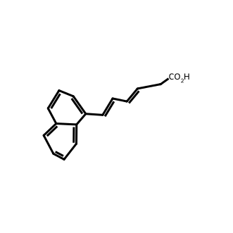 O=C(O)CC=CC=Cc1cccc2ccccc12